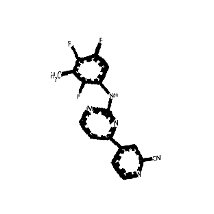 Cc1c(F)c(F)cc(Nc2nccc(-c3ccnc(C#N)c3)n2)c1F